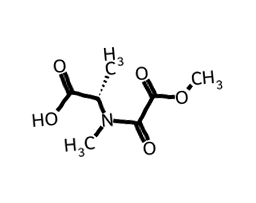 COC(=O)C(=O)N(C)[C@@H](C)C(=O)O